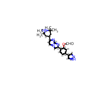 CC1(C)CC(c2ccn3cc(-c4ccc(-c5cn[nH]c5)cc4OC=O)nc3n2)CC(C)(C)N1